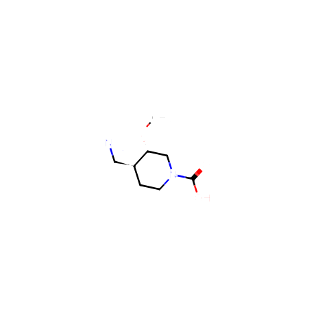 CO[C@@H]1CN(C(=O)O)CC[C@H]1CN